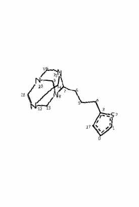 c1csc(CCCC2N3CN4CN(C3)CN2C4)c1